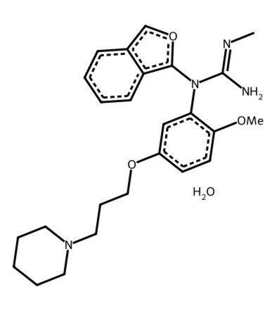 CN=C(N)N(c1cc(OCCCN2CCCCC2)ccc1OC)c1occ2ccccc12.O